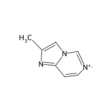 Cc1cn2c(n1)C=C[N+]=C2